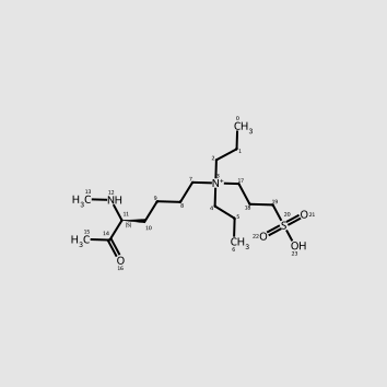 CCC[N+](CCC)(CCCC[C@H](NC)C(C)=O)CCCS(=O)(=O)O